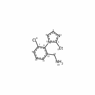 CCc1nccn1-c1c(Cl)cccc1CN